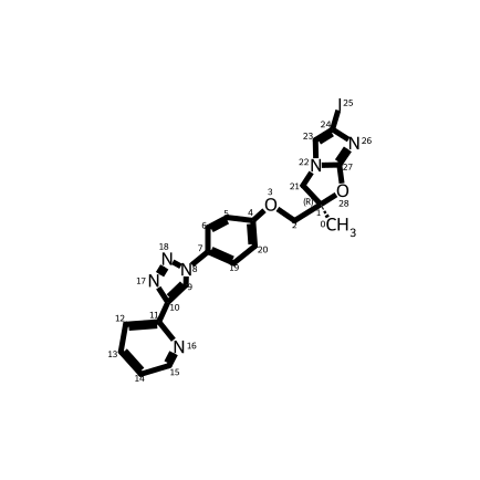 C[C@]1(COc2ccc(-n3cc(-c4ccccn4)nn3)cc2)Cn2cc(I)nc2O1